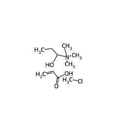 C=CC(=O)O.CCC(O)[N+](C)(C)C.CCl